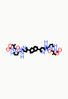 COC(=O)N[C@H](C(=O)N1CCCC1c1nc2ncc(-c3ccc4cc(-c5cnc6nc([C@H]7CCCN7C(=O)[C@@H](NC(=O)OC)C(C)C)[nH]c6c5)ccc4c3)cc2[nH]1)C(C)C